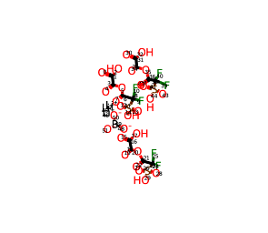 O=C(O)C(=O)OC(=O)C(F)(F)S(=O)(=O)O.O=C(O)C(=O)OC(=O)C(F)(F)S(=O)(=O)O.O=C(O)C(=O)OC(=O)C(F)(F)S(=O)(=O)O.[Li+].[Li+].[Li+].[O-]B([O-])[O-]